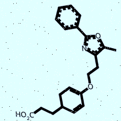 Cc1oc(-c2ccccc2)nc1CCOC1=CCC(CCC(=O)O)C=C1